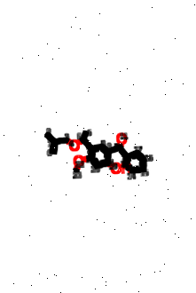 C=C(C)COC(C)c1cc(C(=O)c2ccccc2)c(O)cc1OC